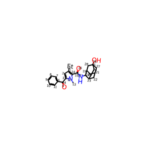 CCc1cc(C(=O)c2ccccc2)n(C)c1C(=O)NC1C2CC3CC1CC(O)(C3)C2